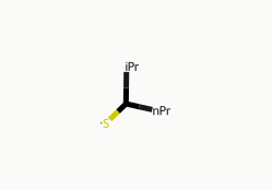 CCCC([S])C(C)C